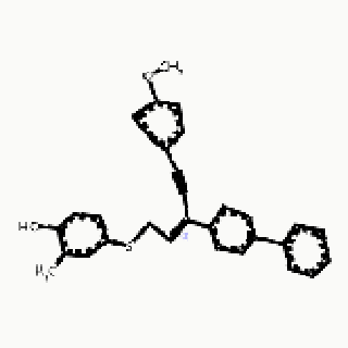 COc1ccc(C#C/C(=C\CSc2ccc(O)c(C)c2)c2ccc(-c3ccccc3)cc2)cc1